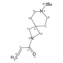 C=CC(=O)N1CC2(CCN(C(C)(C)C)CC2)C1